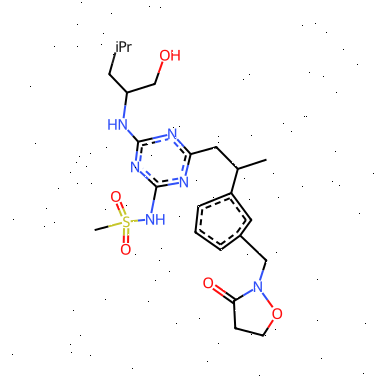 CC(C)CC(CO)Nc1nc(CC(C)c2cccc(CN3OCCC3=O)c2)nc(NS(C)(=O)=O)n1